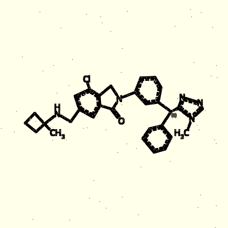 Cn1cnnc1[C@@H](c1ccccc1)c1cccc(N2Cc3c(Cl)cc(CNC4(C)CCC4)cc3C2=O)c1